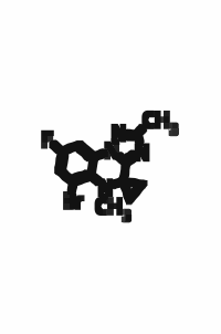 Cc1nc2n(n1)-c1cc(F)cc(Br)c1N(C)C21CC1